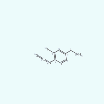 NCc1ccc(N=C=S)c(I)c1